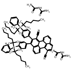 CCCCCC(C)(C)[N+](c1ccccc1)(c1ccc(-c2c(-c3ccc([N+](c4ccccc4)(C(C)(C)CCCCC)C(C)(C)CCCCC)cc3)c3cccc4c5c(C#N)ccc6cccc(c(c2C#N)c34)c65)cc1)C(C)(C)CCCCC.NC(=O)NC(N)=O.NC(=O)NC(N)=O